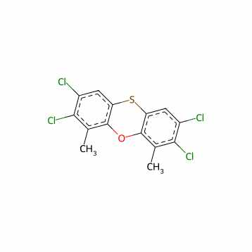 Cc1c(Cl)c(Cl)cc2c1Oc1c(cc(Cl)c(Cl)c1C)S2